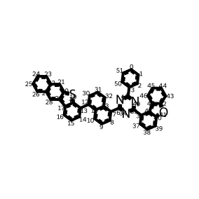 c1ccc(-c2nc(-c3cccc4c(-c5cccc6c5sc5cc7ccccc7cc56)cccc34)nc(-c3cccc4oc5ccccc5c34)n2)cc1